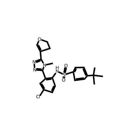 Cn1c(C2=COCC2)nnc1-c1cc(Cl)ccc1NS(=O)(=O)c1ccc(C(C)(C)C)cc1